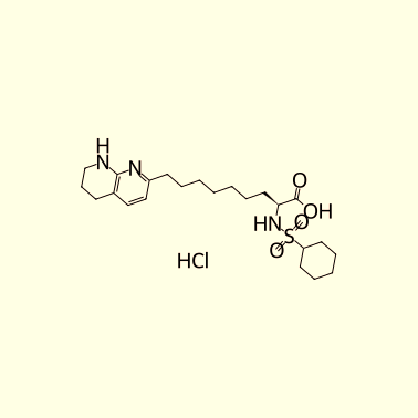 Cl.O=C(O)[C@H](CCCCCCCc1ccc2c(n1)NCCC2)NS(=O)(=O)C1CCCCC1